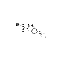 CC(C)(C)OC(=O)[C@@H](N)Cc1ccc(OC(F)(F)F)cc1